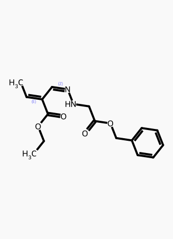 C/C=C(\C=N/NCC(=O)OCc1ccccc1)C(=O)OCC